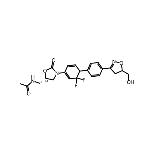 CC(=O)NC[C@H]1CN(C2=CC(F)(F)C(c3ccc(C4=NOC(CO)C4)cc3)C=C2)C(=O)O1